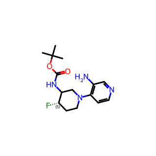 CC(C)(C)OC(=O)NC1CN(c2ccncc2N)CC[C@@H]1F